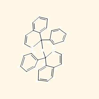 C1=Cc2ccccc2[C]([Ir][C]2(c3ccccc3)NC=Cc3ccccc32)(c2ccccc2)N1